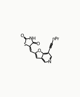 CCCC#Cc1cncc2cc(C=C3SC(=O)NC3=O)oc12